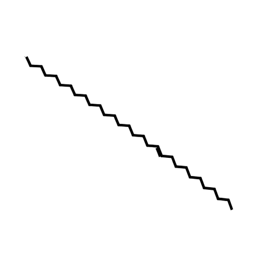 [CH2]CCCCCCCCCCCCCCCCC/C=C/CCCCCCCCCC